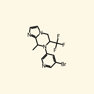 CC1c2nccn2CC(C(F)(F)F)N1c1cncc(Br)c1